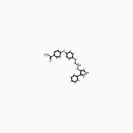 NC(=O)c1ccc(Oc2ccc(CCNCc3c[nH]nc3-c3ccccc3)cc2)nc1